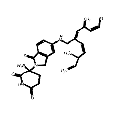 BC1(N2Cc3cc(NCC(/C=C\C(C)C=C)=C/C(=C)/C=C\CC)ccc3C2=O)CCC(=O)NC1=O